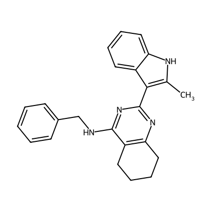 Cc1[nH]c2ccccc2c1-c1nc2c(c(NCc3ccccc3)n1)CCCC2